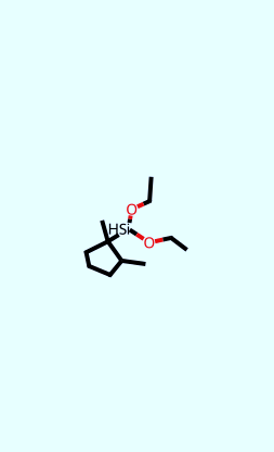 CCO[SiH](OCC)C1(C)CCCC1C